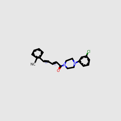 N#Cc1ccccc1/C=C/C=C/C(=O)N1CCN(c2cccc(Cl)c2)CC1